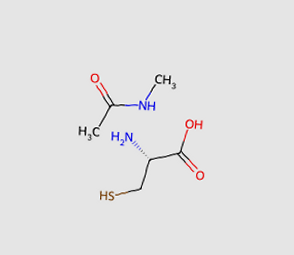 CNC(C)=O.N[C@@H](CS)C(=O)O